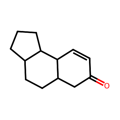 O=C1C=CC2C(CCC3CCCC32)C1